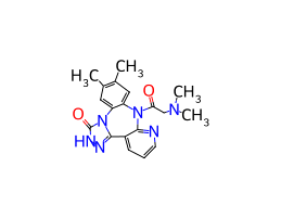 Cc1cc2c(cc1C)-n1c(n[nH]c1=O)-c1cccnc1N2C(=O)CN(C)C